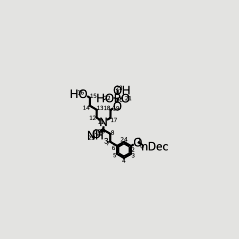 CCCCCCCCCCOc1cccc(CCC(=O)N(CCCCO)CCOP(=O)(O)O)c1.N